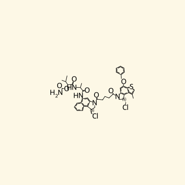 Cc1csc2c(OCc3ccccc3)cc3c(c12)[C@H](CCl)CN3C(=O)CCCC(=O)N1C[C@@H](CCl)c2c1cc(NC(=O)C(C)NC(=O)C(OC(N)=O)C(C)C)c1ccccc21